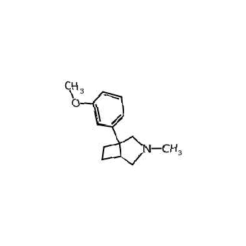 COc1cccc(C23CCC2CN(C)C3)c1